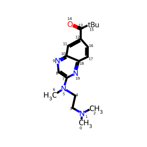 CN(C)CCN(C)c1cnc2cc(C(=O)C(C)(C)C)ccc2n1